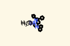 C#C/C=C(\C=C/C)C1=N/c2c(ccc3c(C4=CC=CCC4)cc(-c4ccccc4)nc23)/C(c2cccc3ccccc23)=N\CC\1